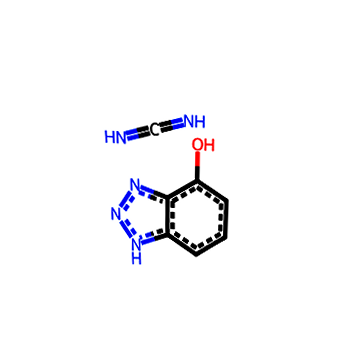 N=C=N.Oc1cccc2[nH]nnc12